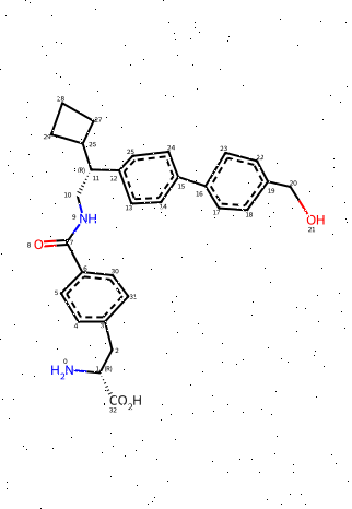 N[C@H](Cc1ccc(C(=O)NC[C@@H](c2ccc(-c3ccc(CO)cc3)cc2)C2CCC2)cc1)C(=O)O